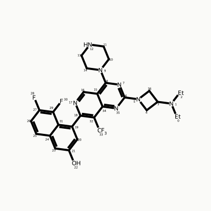 CCN(CC)C1CN(c2nc(N3CCNCC3)c3cnc(-c4cc(O)cc5ccc(F)c(F)c45)c(C(F)(F)F)c3n2)C1